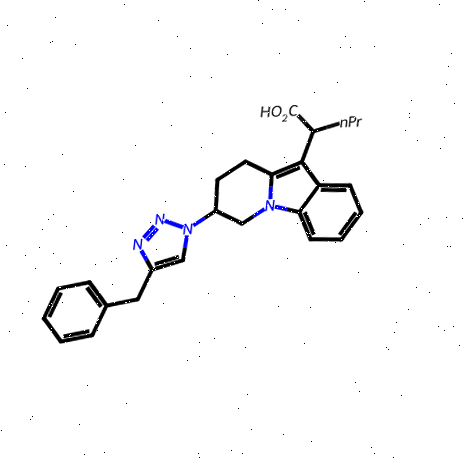 CCCC(C(=O)O)c1c2n(c3ccccc13)CC(n1cc(Cc3ccccc3)nn1)CC2